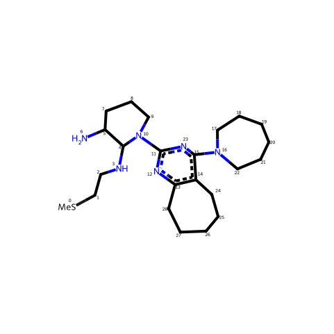 CSCCNC1C(N)CCCN1c1nc2c(c(N3CCCCCC3)n1)CCCCC2